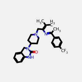 CC(C)=C(CN1CCC(N2Cc3ccccc3NC2=O)CC1)/N=C(\C)c1ccc(C(F)(F)F)cc1